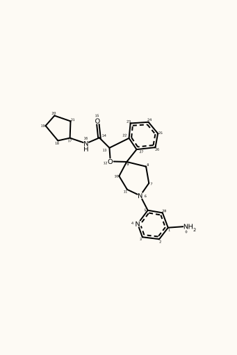 Nc1ccnc(N2CCC3(CC2)OC(C(=O)NC2CCCC2)c2ccccc23)c1